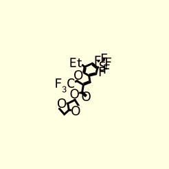 CCc1cc(S(F)(F)(F)(F)F)cc2c1OC(C(F)(F)F)C(C(=O)OC1COC3CCOC31)=C2